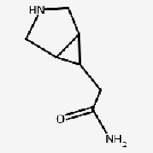 NC(=O)CC1C2CNCC21